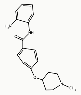 CN1CCC(Oc2ccc(C(=O)Nc3ccccc3N)cc2)CC1